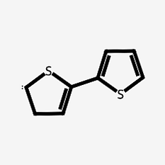 [C]1CC=C(c2cccs2)S1